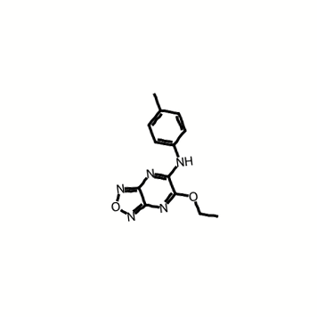 CCOc1nc2nonc2nc1Nc1ccc(C)cc1